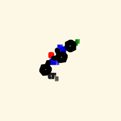 O=C(NCc1cccc(C(F)(F)F)c1)c1cccc2c1cnn2-c1ccc(F)cc1